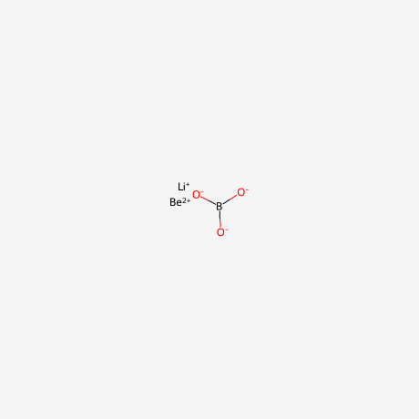 [Be+2].[Li+].[O-]B([O-])[O-]